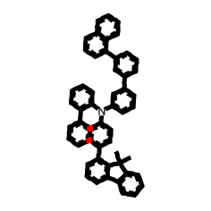 CC1(C)c2ccccc2-c2cccc(-c3ccc(N(c4cccc(-c5cccc(-c6cccc7ccccc67)c5)c4)c4ccccc4-c4ccccc4)cc3)c21